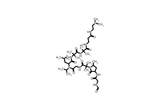 CC(C)CC(C(=O)NC(C)(C)C(=O)NC(C)(C)C(=O)NCCC(=O)NCCN(C)C)N(C(=O)CNC(=O)C(C)(C)N1C(=O)C(NC(=O)CNC=O)CC1C)C(C)C